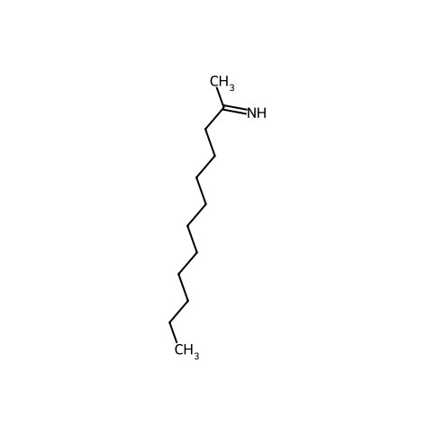 CCCCCCCCCCC(C)=N